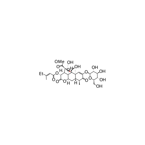 CC/C(C)=C/C(=O)O[C@H]1C(=O)O[C@@H]2C[C@H]3[C@H](C)C(=O)C(O[C@@H]4O[C@H](CO)[C@@H](O)[C@H](O)[C@H]4O)=C[C@]3(C)[C@H]3[C@@H](O)[C@@H](O)[C@@]4(C(=O)OC)OC[C@]32[C@@H]14